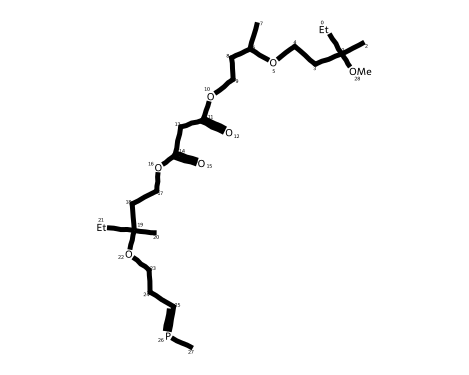 CCC(C)(CCOC(C)CCOC(=O)CC(=O)OCCC(C)(CC)OCC/C=P/C)OC